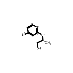 C[C@H](CO)Oc1cc(Br)ccn1